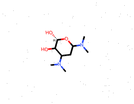 CN(C)C1CC(N(C)C)C(O)[C@H](O)O1